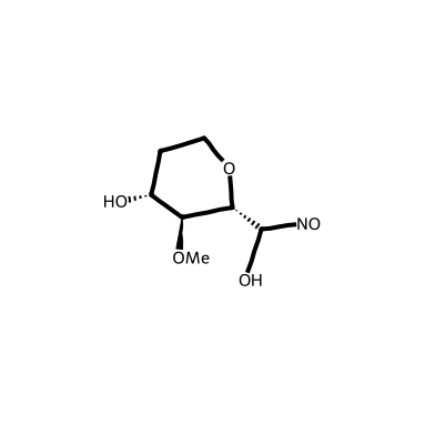 CO[C@H]1[C@H](O)CCO[C@@H]1C(O)N=O